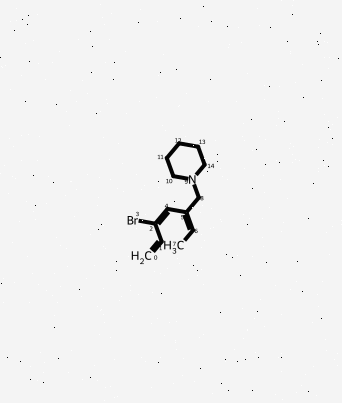 C=C/C(Br)=C\C(=C/C)CN1CCCCC1